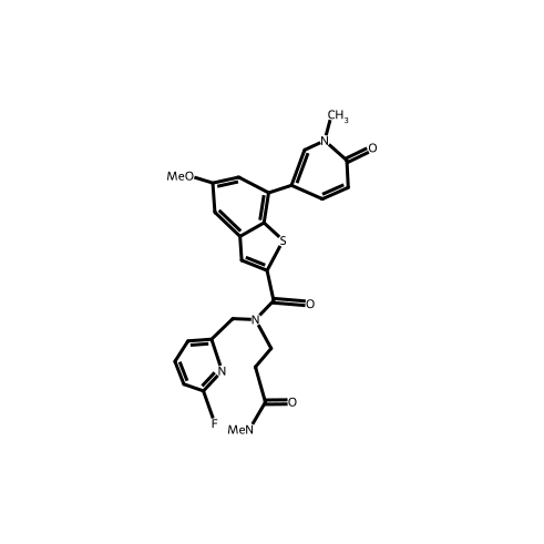 CNC(=O)CCN(Cc1cccc(F)n1)C(=O)c1cc2cc(OC)cc(-c3ccc(=O)n(C)c3)c2s1